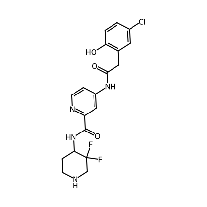 O=C(Cc1cc(Cl)ccc1O)Nc1ccnc(C(=O)NC2CCNCC2(F)F)c1